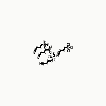 CC[Si](Cl)(Cl)OCCC#N.N#CCCCC(Cl)Cl.N#CCCC[Si](Br)(Br)Br.N#CCCC[Si](Cl)(Cl)Cl